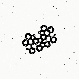 Cc1ccccc1N(c1ccccc1)c1cc2c(c3oc4c(c13)CCC=C4)-c1c(cc(N(c3ccccc3)c3ccccc3C)c3c1oc1ccccc13)C21c2ccccc2-c2ccccc21